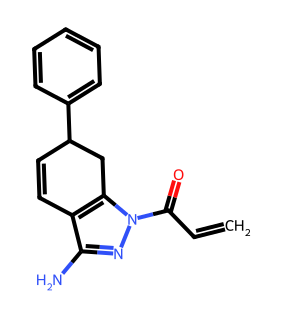 C=CC(=O)n1nc(N)c2c1CC(c1ccccc1)C=C2